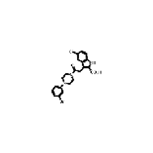 O=C(O)c1[nH]c2ccc(Cl)cc2c1CC(=O)N1CCN(c2cccc(Br)c2)CC1